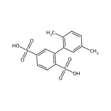 Cc1ccc(C)c(-c2cc(S(=O)(=O)O)ccc2S(=O)(=O)O)c1